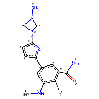 CCc1c(NC(C)C)cc(-c2ccc(N3CN(N)C3)[nH]2)cc1C(N)=O